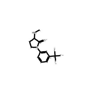 CNC1CCN(c2cccc(C(F)(F)F)c2)C1=O